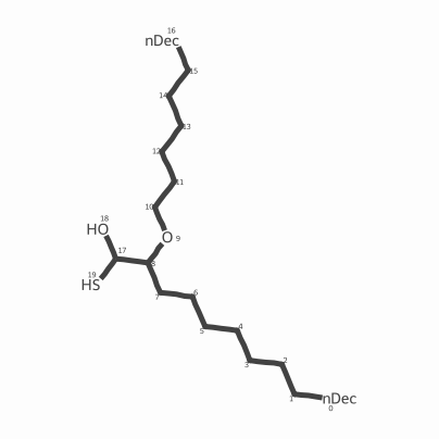 CCCCCCCCCCCCCCCCCC(OCCCCCCCCCCCCCCCC)C(O)S